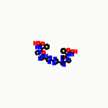 O=C(O)N[C@@H](C(=O)N1CCC[C@H]1c1ncc(-c2cnc(-c3ncc(-c4cnc([C@@H]5CCCN5C(=O)[C@H](NC(=O)O)c5ccccc5)[nH]4)cn3)nc2)[nH]1)c1ccccc1